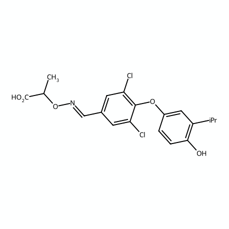 CC(ON=Cc1cc(Cl)c(Oc2ccc(O)c(C(C)C)c2)c(Cl)c1)C(=O)O